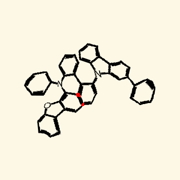 c1ccc(-c2ccc3c4ccccc4n(-c4ccccc4-c4ccccc4N(c4ccccc4)c4cccc5c4oc4ccccc45)c3c2)cc1